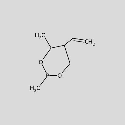 C=CC1COP(C)OC1C